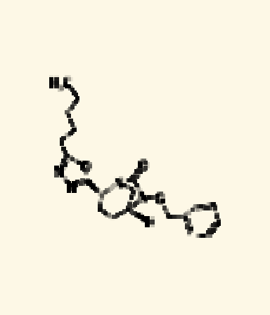 CCCCCc1nnc([C@@H]2CC[C@@H]3CN2C(=O)N3OCc2ccccc2)o1